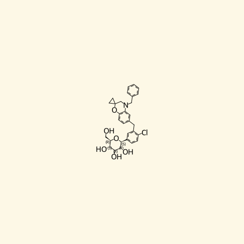 OC[C@H]1O[C@@H](c2ccc(Cl)c(Cc3ccc4c(c3)N(Cc3ccccc3)CC3(CC3)O4)c2)[C@H](O)[C@@H](O)[C@@H]1O